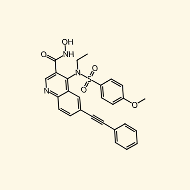 CCN(c1c(C(=O)NO)cnc2ccc(C#Cc3ccccc3)cc12)S(=O)(=O)c1ccc(OC)cc1